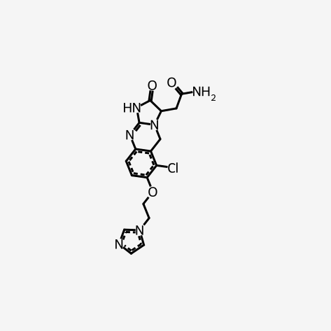 NC(=O)CC1C(=O)NC2=Nc3ccc(OCCn4ccnc4)c(Cl)c3CN21